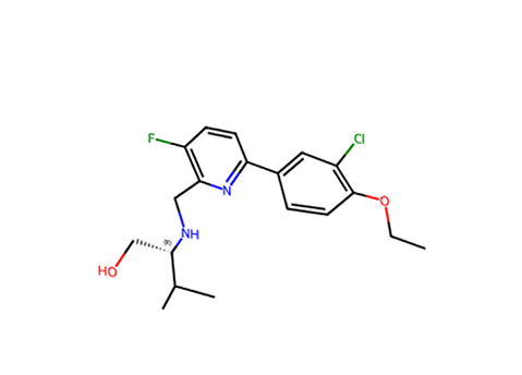 CCOc1ccc(-c2ccc(F)c(CN[C@@H](CO)C(C)C)n2)cc1Cl